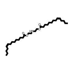 CCCC/C=C\CCCCCCCC(=O)OCCNCCOC(=O)CCCCCCC/C=C\CCCC